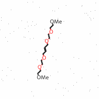 COCCOCCOCC=CCOCCOCCOC